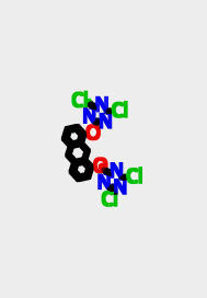 Clc1nc(Cl)nc(Oc2cccc3c2Cc2c(cccc2Oc2nc(Cl)nc(Cl)n2)C3)n1